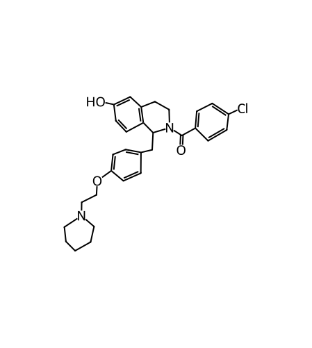 O=C(c1ccc(Cl)cc1)N1CCc2cc(O)ccc2C1Cc1ccc(OCCN2CCCCC2)cc1